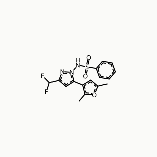 Cc1cc(-c2cc(C(F)F)nn2NS(=O)(=O)c2ccccc2)c(C)o1